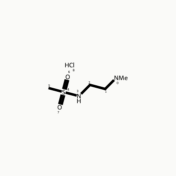 CNCCNS(C)(=O)=O.Cl